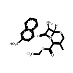 CC1=C(C(=O)OCC(Cl)(Cl)Cl)N2C(=O)[C@@H](N)[C@@H]2SC1.O=S(=O)(O)c1ccc2ccccc2c1